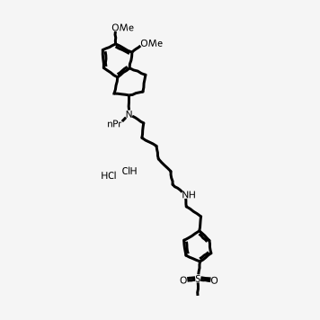 CCCN(CCCCCCNCCc1ccc(S(C)(=O)=O)cc1)C1CCc2c(ccc(OC)c2OC)C1.Cl.Cl